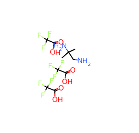 CC(C)(N)CN.O=C(O)C(F)(F)F.O=C(O)C(F)(F)F.O=C(O)C(F)(F)F